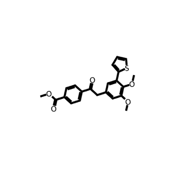 COC(=O)c1ccc(C(=O)Cc2cc(OC)c(OC)c(-c3cccs3)c2)cc1